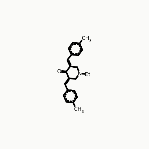 CCN1C/C(=C\c2ccc(C)cc2)C(=O)/C(=C/c2ccc(C)cc2)C1